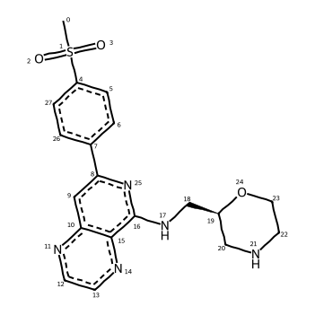 CS(=O)(=O)c1ccc(-c2cc3nccnc3c(NC[C@@H]3CNCCO3)n2)cc1